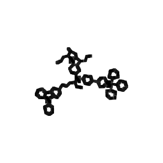 C=CCC1C2=CC(N(/C(C=C)=C/C=C/c3ccc4c(c3)c3ccccc3n4-c3ccccc3)c3ccc(-c4ccc([Si](c5ccccc5)(c5ccccc5)c5ccccc5)cc4)cc3)=CCC2N2C1=CC(=C)C2CC=C